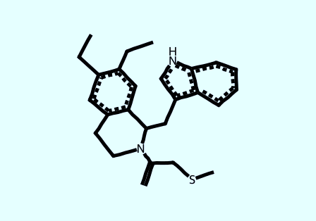 C=C(CSC)N1CCc2cc(CC)c(CC)cc2C1Cc1c[nH]c2ccccc12